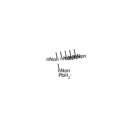 CCCCCCCCCC.CCCCCCCCCC.CCCCCCCCCC.CCCCCCCCCC.CCCCCCCCCC.CCCCCCCCCC.[PbH2]